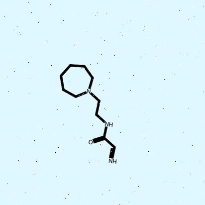 N=CC(=O)NCCN1CCCCCC1